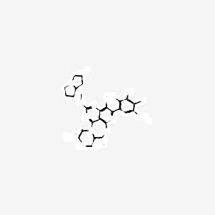 CC[C@@H]1CN2c3nc(OC[C@@]45CCCN4C[C@H](F)C5)nc4c(F)c(-c5cc(N)c(F)c(Cl)c5C(F)(F)F)nc(c34)O[C@@H](C)[C@@H]2CN1